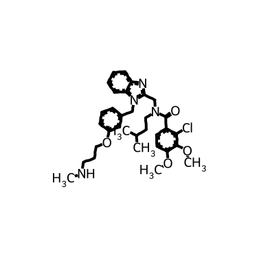 CNCCCOc1cccc(Cn2c(CN(CCC(C)C)C(=O)c3ccc(OC)c(OC)c3Cl)nc3ccccc32)c1